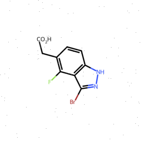 O=C(O)Cc1ccc2[nH]nc(Br)c2c1F